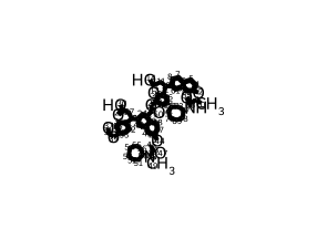 CC(Oc1ccc2ccc(C(CC(=O)O)c3ccc4c(c3)OC(c3cc(C(CC(=O)O)c5ccc6c(c5)OCO6)cc5cc(OCC(=O)N(C)C6CCCCCC6)ccc35)O4)cc2c1)C(=O)NC1CCCCCC1